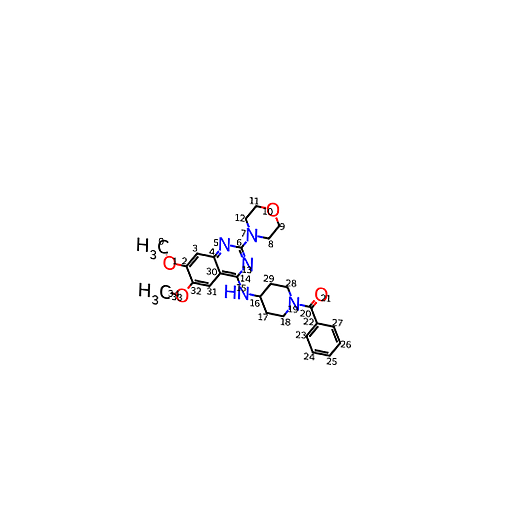 COc1cc2nc(N3CCOCC3)nc(NC3CCN(C(=O)c4ccccc4)CC3)c2cc1OC